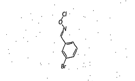 ClON=Cc1cccc(Br)c1